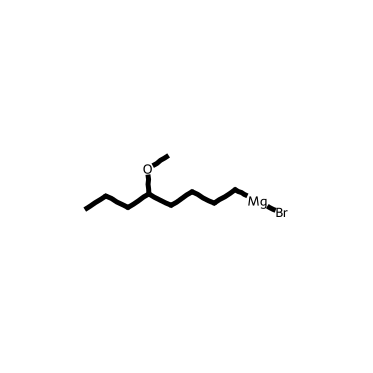 CCCC(CCC[CH2][Mg][Br])OC